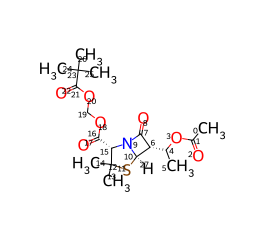 CC(=O)OC(C)[C@H]1C(=O)N2[C@@H]1SC(C)(C)[C@@H]2C(=O)OCOC(=O)C(C)(C)C